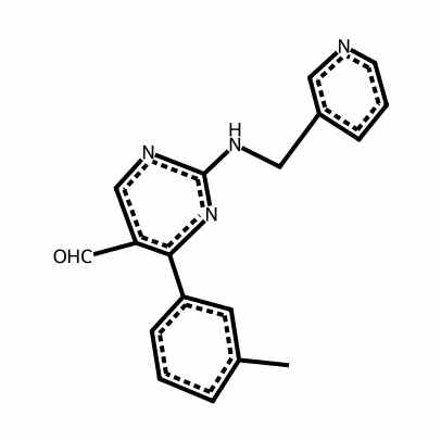 Cc1cccc(-c2nc(NCc3cccnc3)ncc2C=O)c1